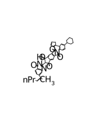 CCC/C=C(/C)c1ccc2c(=O)[nH]c(C3C(=O)c4cc5c(cc4C3=O)C(=O)N(c3ccc(C4CCCCC4)cc3C3=CC=CC3)C5=O)nc2c1